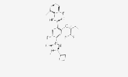 Cc1cccc(F)c1NC(=O)c1cc(F)c(-n2nc(C3CCC3)n(C)c2=O)cc1O[C@@H](CF)C(F)F